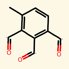 Cc1ccc([C]=O)c([C]=O)c1[C]=O